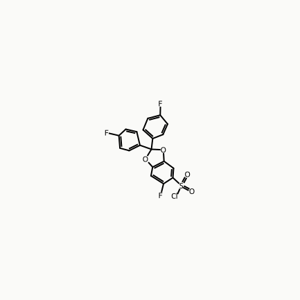 O=S(=O)(Cl)c1cc2c(cc1F)OC(c1ccc(F)cc1)(c1ccc(F)cc1)O2